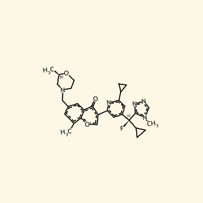 Cc1cc(CN2CCO[C@H](C)C2)cc2c(=O)c(-c3cc([C@](F)(c4nncn4C)C4CC4)cc(C4CC4)n3)coc12